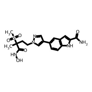 CC(CCn1cc(-c2ccc3[nH]c(C(N)=O)cc3c2)cn1)(C(=O)NO)S(C)(=O)=O